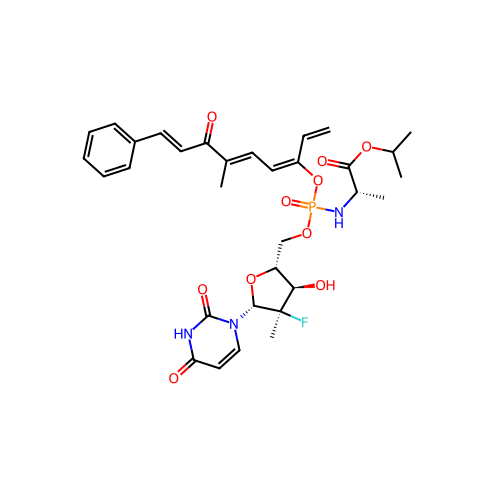 C=C/C(=C\C=C(/C)C(=O)/C=C/c1ccccc1)OP(=O)(N[C@@H](C)C(=O)OC(C)C)OC[C@H]1O[C@@H](n2ccc(=O)[nH]c2=O)[C@](C)(F)[C@@H]1O